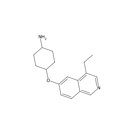 CCc1cncc2ccc(OC3CCC(N)CC3)cc12